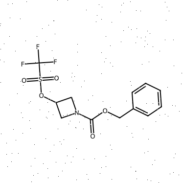 O=C(OCc1ccccc1)N1CC(OS(=O)(=O)C(F)(F)F)C1